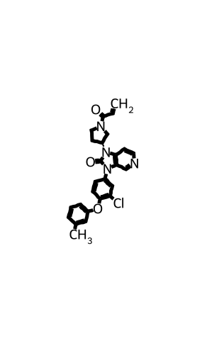 C=CC(=O)N1CC[C@@H](n2c(=O)n(-c3ccc(Oc4cccc(C)c4)c(Cl)c3)c3cnccc32)C1